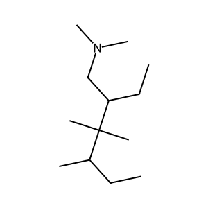 CCC(C)C(C)(C)C(CC)CN(C)C